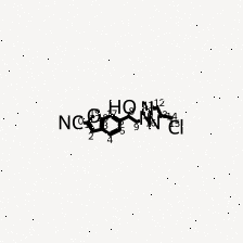 N#Cc1cc2ccc([C@@H](O)Cn3ncc(CCl)n3)cc2o1